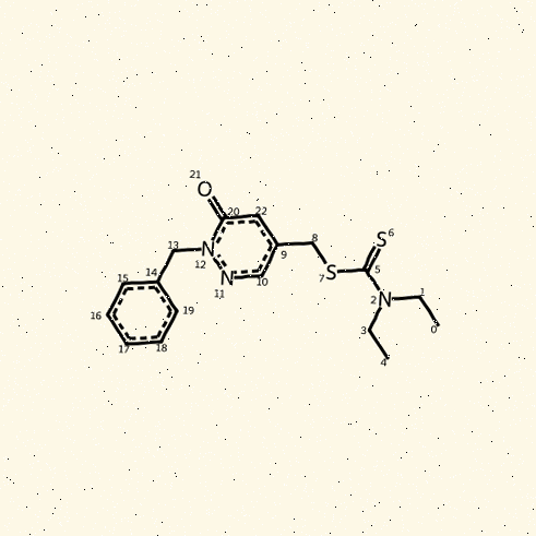 CCN(CC)C(=S)SCc1cnn(Cc2ccccc2)c(=O)c1